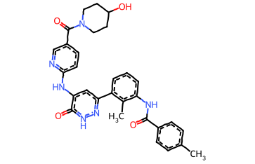 Cc1ccc(C(=O)Nc2cccc(-c3cc(Nc4ccc(C(=O)N5CCC(O)CC5)cn4)c(=O)[nH]n3)c2C)cc1